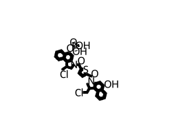 O=C(c1ccc(C(=O)N2CC(CCl)c3c2cc(OP(=O)(O)O)c2ccccc32)s1)N1CC(CCl)c2c1cc(O)c1ccccc21